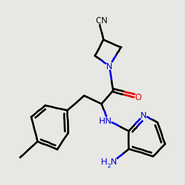 Cc1ccc(CC(Nc2ncccc2N)C(=O)N2CC(C#N)C2)cc1